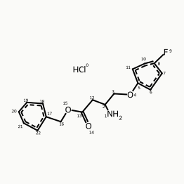 Cl.NC(COc1ccc(F)cc1)CC(=O)OCc1ccccc1